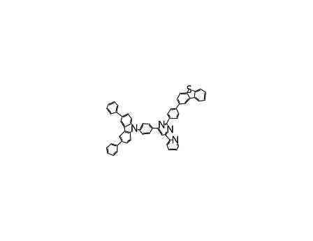 c1ccc(-c2ccc3c(c2)c2cc(-c4ccccc4)ccc2n3-c2ccc(-c3cc(-c4ccccn4)nc(-c4ccc(-c5ccc6sc7ccccc7c6c5)cc4)n3)cc2)cc1